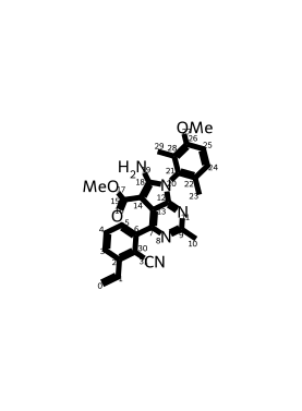 C=Cc1cccc(-c2nc(C)nc3c2c(C(=O)OC)c(N)n3-c2c(C)ccc(OC)c2C)c1C#N